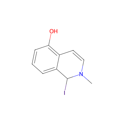 CN1C=Cc2c(O)cccc2C1I